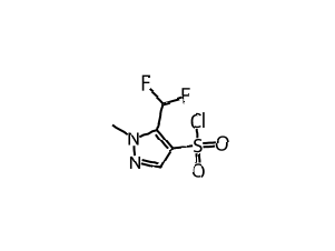 Cn1ncc(S(=O)(=O)Cl)c1C(F)F